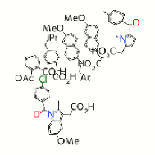 CC(=O)Oc1ccccc1C(=O)O.CC(C)Cc1ccc(C(C)C(=O)O)cc1.COc1ccc2c(c1)c(CC(=O)O)c(C)n2C(=O)c1ccc(Cl)cc1.COc1ccc2cc(CCC(C)=O)ccc2c1.COc1ccc2cc([C@H](C)C(=O)O)ccc2c1.Cc1ccc(C(=O)c2ccc(CC(=O)O)n2C)cc1